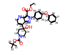 CCOC(=O)c1c2nccc(C3(O)CCN(C(=O)OC(C)(C)C)CC3)c2nn1-c1ccc(Oc2ccccc2)cc1